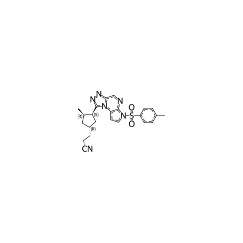 Cc1ccc(S(=O)(=O)n2ccc3c2ncc2nnc([C@H]4C[C@H](CCC#N)C[C@H]4C)n23)cc1